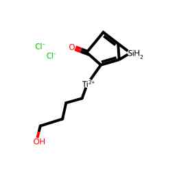 O=C1C=C2[SiH2]C2=[C]1[Ti+2][CH2]CCCO.[Cl-].[Cl-]